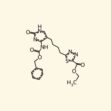 CCOC(=O)c1nnc(CCCCc2c[nH]c(=O)nc2NC(=O)OCc2ccccc2)s1